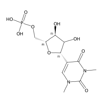 Cn1cc([C@@H]2O[C@H](COP(=O)(O)O)[C@@H](O)C2O)c(=O)n(C)c1=O